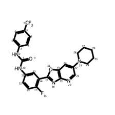 O=C(Nc1ccc(C(F)(F)F)cc1)Nc1ccc(F)c(-c2nc3ncc(N4CCCCC4)cc3o2)c1